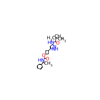 C[C@@H](NC(=O)OC1CC(c2cc(NC(=O)C(C)(C)C)n[nH]2)C1)c1ccccc1